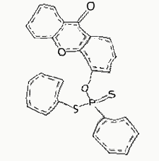 O=c1c2ccccc2oc2c(OP(=S)(Sc3ccccc3)c3ccccc3)cccc12